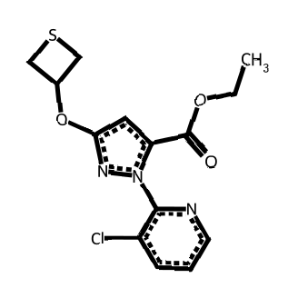 CCOC(=O)c1cc(OC2CSC2)nn1-c1ncccc1Cl